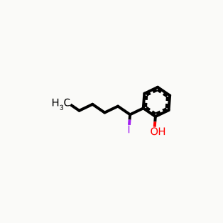 CCCCCC(I)c1ccccc1O